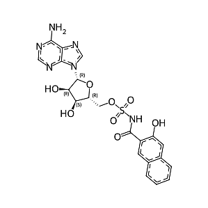 Nc1ncnc2c1ncn2[C@@H]1O[C@H](COS(=O)(=O)NC(=O)c2cc3ccccc3cc2O)[C@@H](O)[C@H]1O